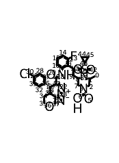 CC1CN(C(=O)O)CC(CCc2c(F)cccc2NC(=O)[C@@H](N=[N+]=[N-])[C@@H](c2ccc(Cl)cc2)C2CCOCC2)N1S(=O)(=O)C1CC1